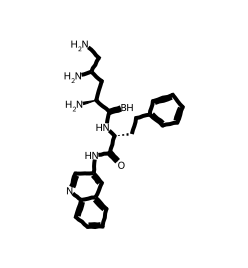 B=C(N[C@H](CCc1ccccc1)C(=O)Nc1cnc2ccccc2c1)[C@@H](N)CC(N)CN